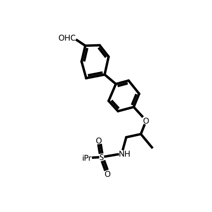 CC(CNS(=O)(=O)C(C)C)Oc1ccc(-c2ccc(C=O)cc2)cc1